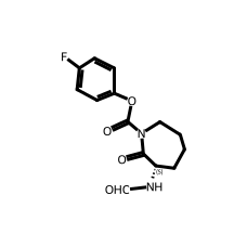 O=CN[C@H]1CCCCN(C(=O)Oc2ccc(F)cc2)C1=O